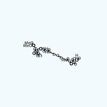 CCC(C)(C)C(=O)C(=O)N1CCCCC1C(=O)O[C@H](CCc1ccc(OC)c(OC)c1)c1ccc(NC(=O)CCC(=O)NCCCOCCOCCOCCCNC(=O)COc2cccc3c2C(=O)N(C2CCC(=O)NC2=O)C3=O)cc1